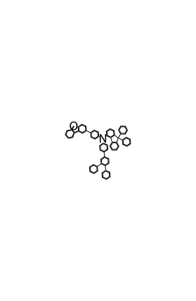 c1ccc(-c2ccc(-c3ccc(N(c4ccc(-c5ccc6oc7ccccc7c6c5)cc4)c4cccc5c4-c4ccccc4C5(c4ccccc4)c4ccccc4)cc3)cc2-c2ccccc2)cc1